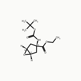 CCOC(=O)[C@]1(NC(=O)OC(C)(C)C)C[C@@H]2O[C@@H]2C1